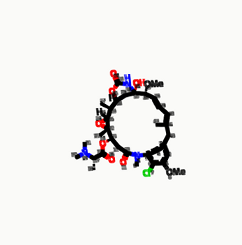 COc1cc2cc(c1Cl)N(C)C(=O)C[C@H](OC(=O)[C@H](C)N(C)C)[C@]1(C)O[C@@H]1[C@@H](C)[C@@H]1C[C@@](O)(NC(=O)O1)[C@H](OC)/C=C/C=C(\C)C2